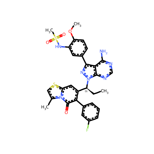 CC[C@@H](c1cc2scc(C)n2c(=O)c1-c1cccc(F)c1)n1nc(-c2ccc(OC)c(NS(C)(=O)=O)c2)c2c(N)ncnc21